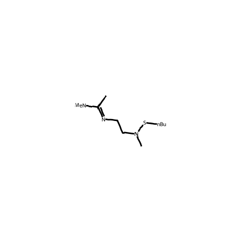 CCCCSN(C)CC/N=C(\C)NC